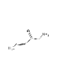 CC=CC(=O)CN